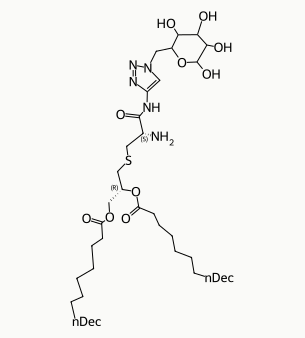 CCCCCCCCCCCCCCCCC(=O)OC[C@H](CSC[C@@H](N)C(=O)Nc1cn(CC2OC(O)C(O)C(O)C2O)nn1)OC(=O)CCCCCCCCCCCCCCCC